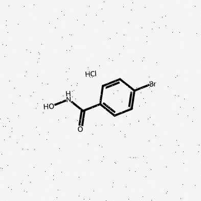 Cl.O=C(NO)c1ccc(Br)cc1